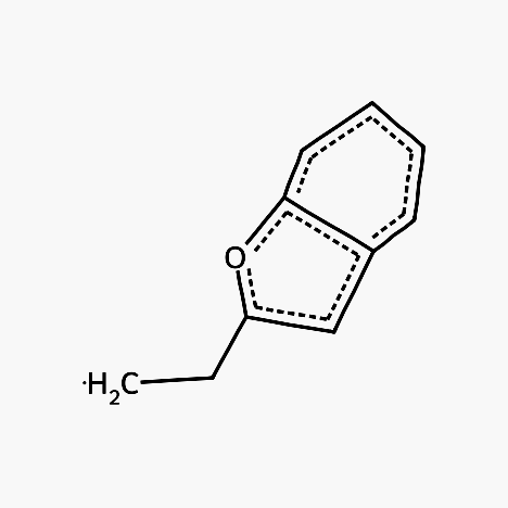 [CH2]Cc1cc2ccccc2o1